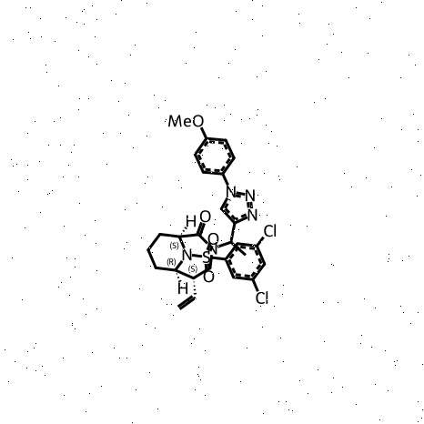 C=C[C@H]1CN(C(C)c2cn(-c3ccc(OC)cc3)nn2)C(=O)[C@@H]2CCC[C@H]1N2S(=O)(=O)c1cc(Cl)cc(Cl)c1